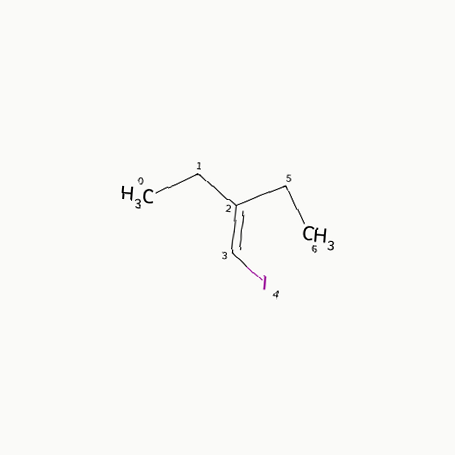 CCC(=CI)CC